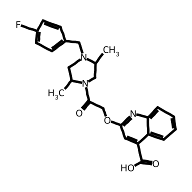 CC1CN(C(=O)COc2cc(C(=O)O)c3ccccc3n2)C(C)CN1Cc1ccc(F)cc1